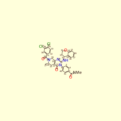 CNC(=O)c1ccc(-n2c(N[C@@H]3CCOc4ccccc43)nc3c(c2=O)C[C@@H](C)N(C(=O)c2ccc(Cl)c(Cl)c2)C3)cc1